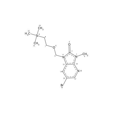 Cn1c(=O)n(COCC[Si](C)(C)C)c2cc(Br)cnc21